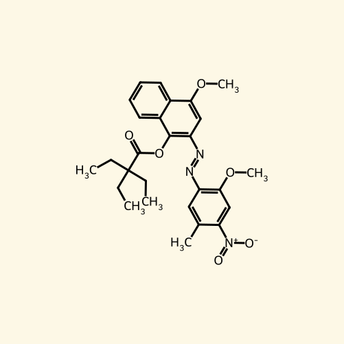 CCC(CC)(CC)C(=O)Oc1c(N=Nc2cc(C)c([N+](=O)[O-])cc2OC)cc(OC)c2ccccc12